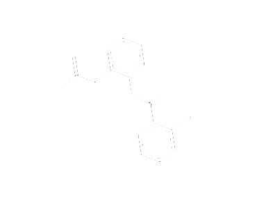 C=C(C)Cc1ccccc1OC(=O)c1ccccc1O